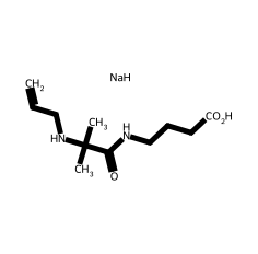 C=CCNC(C)(C)C(=O)NCCCC(=O)O.[NaH]